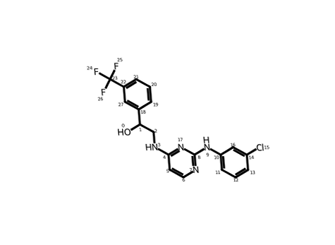 OC(CNc1ccnc(Nc2cccc(Cl)c2)n1)c1cccc(C(F)(F)F)c1